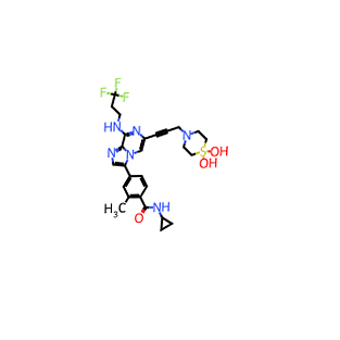 Cc1cc(-c2cnc3c(NCCC(F)(F)F)nc(C#CCN4CCS(O)(O)CC4)cn23)ccc1C(=O)NC1CC1